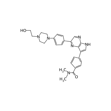 CN(C)C(=O)c1ccc(-c2c[nH]c3ncc(-c4ccc(N5CCN(CCO)CC5)cc4)nc23)cc1